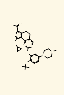 CN1CCN(c2ccc(OC(F)(F)F)c(Nc3ncc4c(n3)-c3c(OC5CC5)sc(C(N)=O)c3CC4)c2)CC1